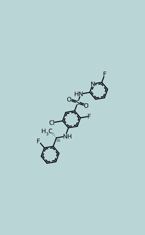 C[C@H](Nc1cc(F)c(S(=O)(=O)Nc2cccc(F)n2)cc1Cl)c1ccccc1F